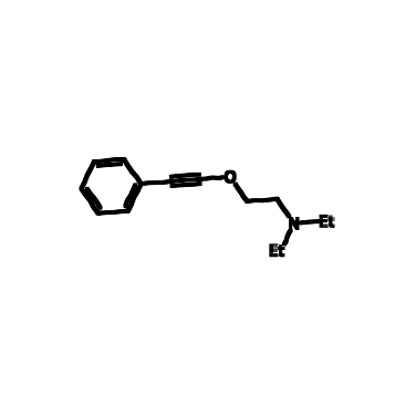 CCN(CC)CCOC#Cc1ccccc1